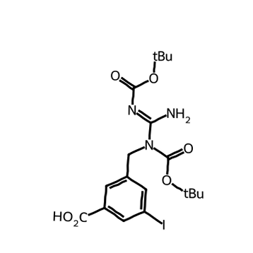 CC(C)(C)OC(=O)N=C(N)N(Cc1cc(I)cc(C(=O)O)c1)C(=O)OC(C)(C)C